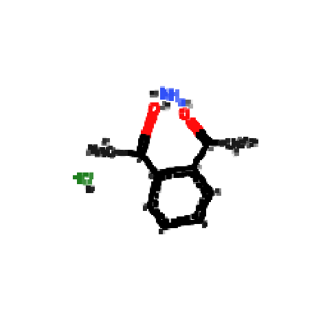 COC(=O)c1ccccc1C(=O)OC.Cl.N